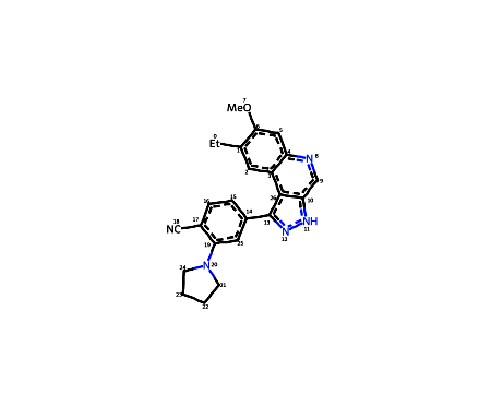 CCc1cc2c(cc1OC)ncc1[nH]nc(-c3ccc(C#N)c(N4CCCC4)c3)c12